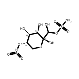 NS(=O)(=O)OC(O)[C@]1(O)OC[C@H](O[SH](=O)=O)[C@H](O)[C@H]1O